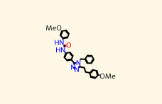 COc1ccc(CCc2nnc(-c3ccc(NC(=O)Nc4cccc(OC)c4)cc3)n2Cc2ccccc2)cc1